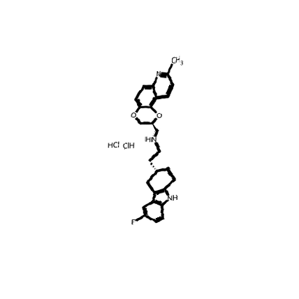 Cc1ccc2c3c(ccc2n1)OC[C@H](CNCC[C@@H]1CCc2[nH]c4ccc(F)cc4c2C1)O3.Cl.Cl